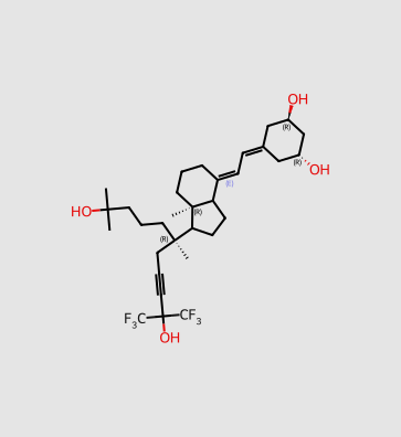 CC(C)(O)CCC[C@](C)(CC#CC(O)(C(F)(F)F)C(F)(F)F)C1CCC2/C(=C/C=C3C[C@@H](O)C[C@H](O)C3)CCC[C@@]21C